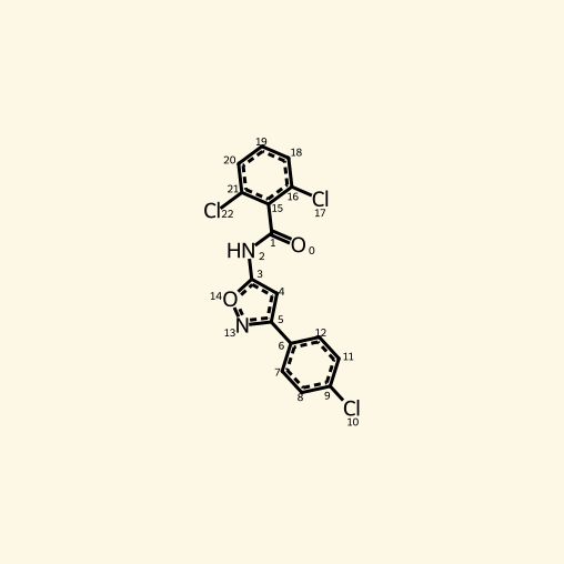 O=C(Nc1cc(-c2ccc(Cl)cc2)no1)c1c(Cl)cccc1Cl